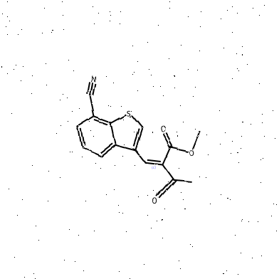 COC(=O)/C(=C\c1csc2c(C#N)cccc12)C(C)=O